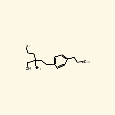 CCCCCCCCCCCCc1ccc(CCC(N)(CO)CCO)cc1